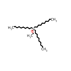 CCCCCCCCCC[Si](CCCCCCCCCC)(CCCCCCCCCC)OCC